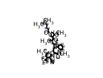 COC1CN(C(=O)/C=C/CN(C)C)CC1C(=O)N(C)CCN1CC[C@H](Nc2nc(C)cc(C(F)(F)F)c2C#N)C(=O)N(C)c2cccc(F)c21